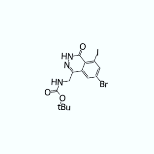 CC(C)(C)OC(=O)NCc1n[nH]c(=O)c2c(I)cc(Br)cc12